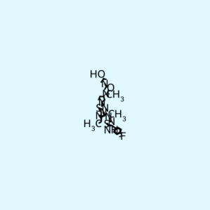 CCc1nc2sc(N3CC[C@@H](N(C)CC(=O)N4CC(O)C4)C3)nn2c1N(C)c1nc(-c2ccc(F)cc2)c(N)s1